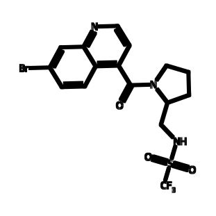 O=C(c1ccnc2cc(Br)ccc12)N1CCCC1CNS(=O)(=O)C(F)(F)F